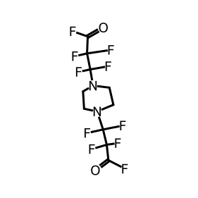 O=C(F)C(F)(F)C(F)(F)N1CCN(C(F)(F)C(F)(F)C(=O)F)CC1